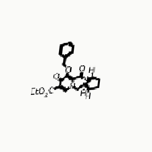 CCOC(=O)c1cn2c(c(OCc3ccccc3)c1=O)C(=O)N1[C@@H]3CC[C@@H](C3)[C@H]1C2